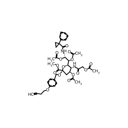 C#CCCOc1ccc(CO[C@]2(C(=O)OC)C[C@H](OC(C)=O)[C@@H](NC(=O)COC(C)=O)[C@H]([C@H](OC(C)=O)[C@@H](CNC(=O)C3(c4ccccc4)CC3)OC(C)=O)O2)cc1